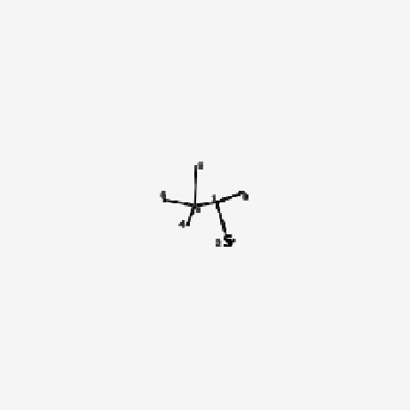 CC([S])C(C)(C)C